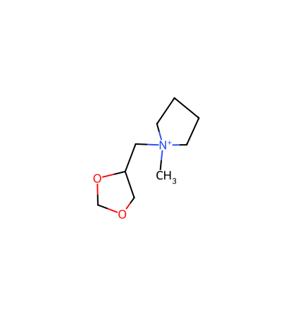 C[N+]1(CC2COCO2)CCCC1